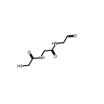 O=[C]CNC(=O)CNC(=O)CS